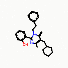 C=C1C(CC2CCCCC2)=C(C)N=C(c2ccccc2O)N1CCc1ccccc1